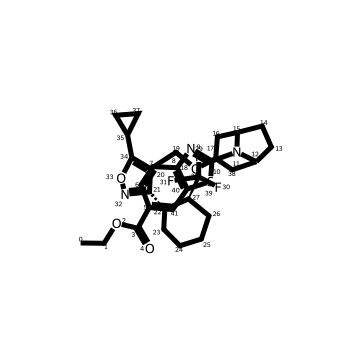 CCOC(=O)c1ccc2nc(N3C4CCC3CC(OCc3c([C@H]5CCCC[C@@H]5C(F)(F)F)noc3C3CC3)C4)sc2c1